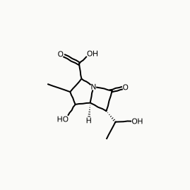 CC1C(O)[C@@H]2[C@@H](C(C)O)C(=O)N2C1C(=O)O